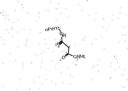 CCCCCNC(=S)CC(=O)OC